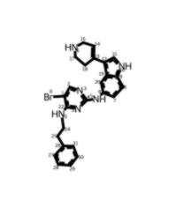 Brc1cnc(Nc2ccc3[nH]cc(C4=CCNCC4)c3c2)nc1NCCc1ccccc1